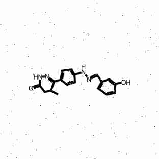 CC1CC(=O)NN=C1c1ccc(NN=Cc2cccc(O)c2)cc1